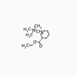 C=COC(=O)c1ccccc1.C[N+](C)(C)C